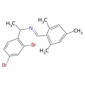 Cc1cc(C)c(C=NC(C)c2ccc(Br)cc2Br)c(C)c1